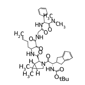 C=CCCC(NC(=O)[C@@H]1[C@@H]2[C@H](CN1C(=O)[C@@H](NC(=O)OC(C)(C)C)C1Cc3ccccc3C1)C2(C)C)C(=O)C(=O)NCC(=O)N[C@H](C(=O)N(C)C)c1ccccc1